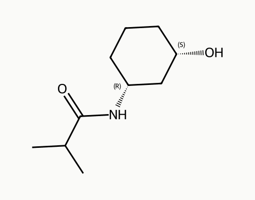 CC(C)C(=O)N[C@@H]1CCC[C@H](O)C1